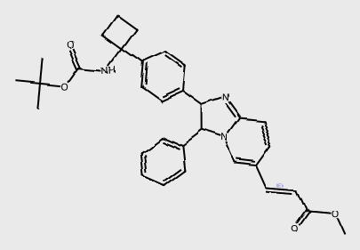 COC(=O)/C=C/C1=CN2C(=NC(c3ccc(C4(NC(=O)OC(C)(C)C)CCC4)cc3)C2c2ccccc2)C=C1